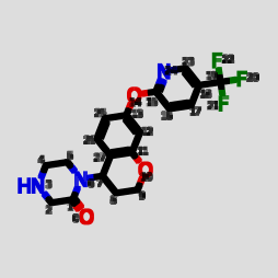 O=C1CNCCN1C1CCOc2cc(Oc3ccc(C(F)(F)F)cn3)ccc21